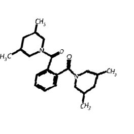 CC1CC(C)CN(C(=O)c2ccccc2C(=O)N2CC(C)CC(C)C2)C1